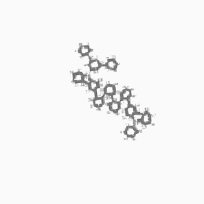 c1ccc(-c2cc(-c3ccccc3)cc(-n3c4ccccc4c4cc(-c5ccccc5-c5ccccc5-c5ccccc5-c5ccccc5-c5ccc6c(c5)c5ccccc5n6-c5ccccc5)ccc43)c2)cc1